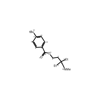 CCC(CC)(CCOC(=O)c1ccc(C(C)(C)C)cc1)NC